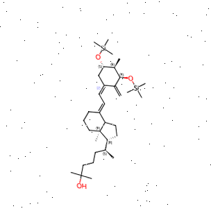 C=C1/C(=C\C=C2CCC[C@@]3(C)C2CC[C@@H]3[C@@H](C)CCCC(C)(C)O)C[C@H](O[Si](C)(C)C)[C@@H](C)[C@H]1O[Si](C)(C)C